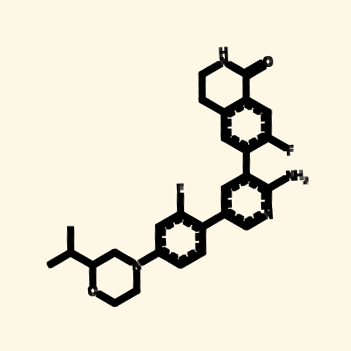 CC(C)C1CN(c2ccc(-c3cnc(N)c(-c4cc5c(cc4F)C(=O)NCC5)c3)c(F)c2)CCO1